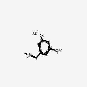 Cl.NCc1cc(O)cc(O)c1